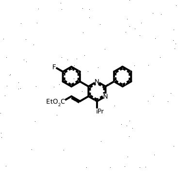 CCOC(=O)C=Cc1c(-c2ccc(F)cc2)nc(-c2ccccc2)nc1C(C)C